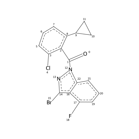 O=C(c1c(Cl)cccc1C1CC1)n1nc(Br)c2c(F)cccc21